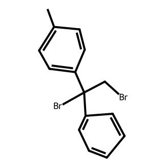 Cc1ccc(C(Br)(CBr)c2ccccc2)cc1